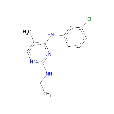 CCNc1ncc(C)c(Nc2cccc(Cl)c2)n1